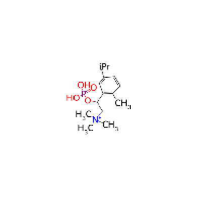 Cc1ccc(C(C)C)cc1C(C[N+](C)(C)C)OP(=O)(O)O